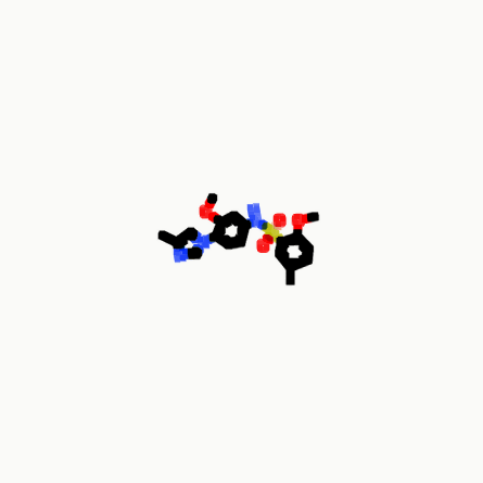 COc1cc(NS(=O)(=O)c2cc(C)ccc2OC)ccc1-n1cnc(C)c1